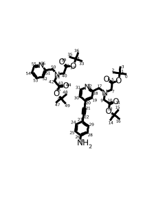 CC(C)(C)OC(=O)CN(CC(=O)OC(C)(C)C)Cc1cc(C#Cc2ccc(N)cc2)ccn1.CC(C)(C)OC(=O)CN(CC(=O)OC(C)(C)C)Cc1ccccn1